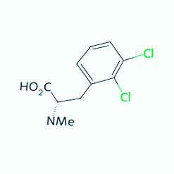 CN[C@@H](Cc1cccc(Cl)c1Cl)C(=O)O